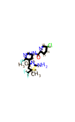 C[C@]1(C(F)F)C[C@@](C)(c2cc(NC(=O)c3ccc(Cl)cn3)cnc2F)N=C(N)S1